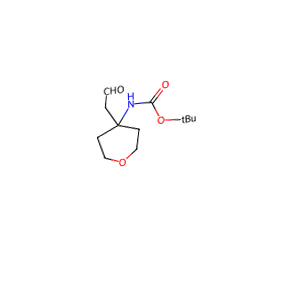 CC(C)(C)OC(=O)NC1(CC=O)CCOCC1